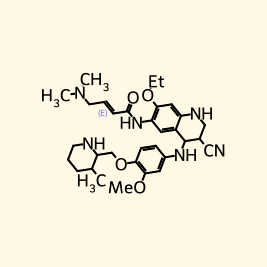 CCOc1cc2c(cc1NC(=O)/C=C/CN(C)C)C(Nc1ccc(OCC3NCCCC3C)c(OC)c1)C(C#N)CN2